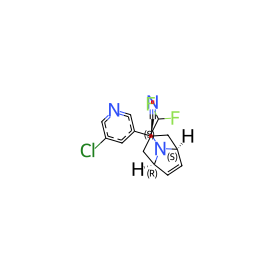 N#C[C@@]1(c2cncc(Cl)c2)C[C@H]2C=C[C@@H](C1)N2CC(F)F